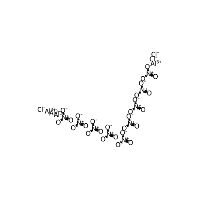 O=[N+]([O-])[O-].O=[N+]([O-])[O-].O=[N+]([O-])[O-].O=[N+]([O-])[O-].O=[N+]([O-])[O-].O=[N+]([O-])[O-].O=[N+]([O-])[O-].O=[N+]([O-])[O-].O=[N+]([O-])[O-].[Al+3].[Al+3].[Al+3].[Al+3].[Cl-].[Cl-].[Cl-]